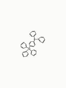 c1cc[c]([Ir]([c]2ccccc2)[c]2ccc([Si](c3ccccc3)(c3ccccc3)c3ccccc3)cc2)cc1